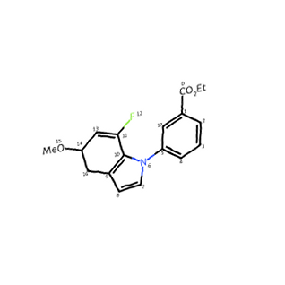 CCOC(=O)c1cccc(-n2ccc3c2C(F)=CC(OC)C3)c1